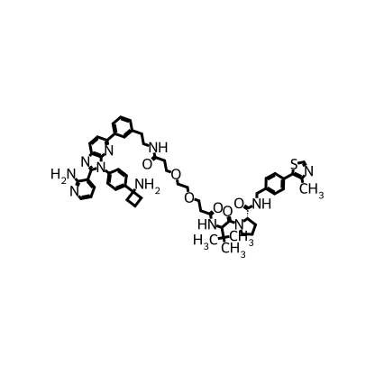 Cc1ncsc1-c1ccc(CNC(=O)[C@@H]2CCCN2C(=O)C(NC(=O)CCOCCOCCC(=O)NCCc2cccc(-c3ccc4nc(-c5cccnc5N)n(-c5ccc(C6(N)CCC6)cc5)c4n3)c2)C(C)(C)C)cc1